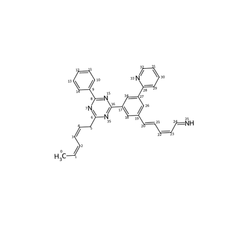 C/C=C\C=C/Cc1nc(-c2ccccc2)nc(-c2cc(/C=C/C=C\C=N)cc(-c3ccccn3)c2)n1